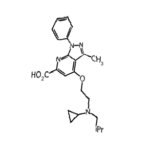 Cc1nn(-c2ccccc2)c2nc(C(=O)O)cc(OCCN(CC(C)C)C3CC3)c12